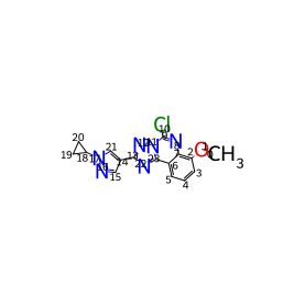 COc1cccc2c1nc(Cl)n1nc(-c3cnn(C4CC4)c3)nc21